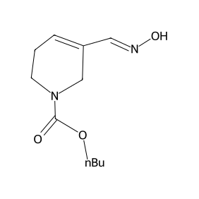 CCCCOC(=O)N1CCC=C(C=NO)C1